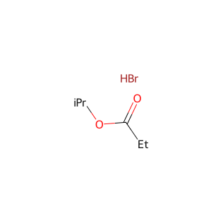 Br.CCC(=O)OC(C)C